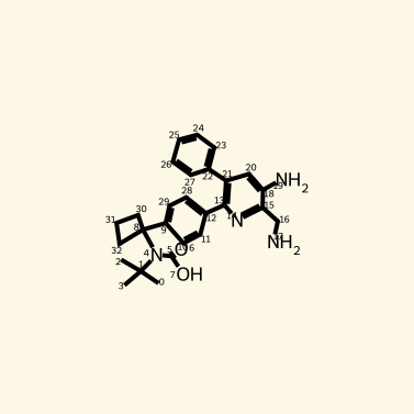 CC(C)(C)N(C(=O)O)C1(c2ccc(-c3nc(CN)c(N)cc3-c3ccccc3)cc2)CCC1